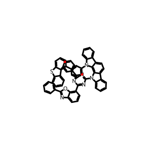 c1ccc(-c2nc(-c3cccc4nc(-c5ccccc5)oc34)nc(-n3c4ccccc4c4ccc5c6ccccc6n(-c6cccc(-c7cccc8sc9ccccc9c78)c6)c5c43)n2)cc1